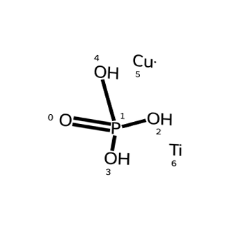 O=P(O)(O)O.[Cu].[Ti]